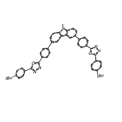 Cn1c2ccc(-c3ccc(-c4nnc(-c5ccc(C(C)(C)C)cc5)o4)cc3)cc2c2cc(-c3ccc(-c4nnc(-c5ccc(C(C)(C)C)cc5)o4)cc3)ccc21